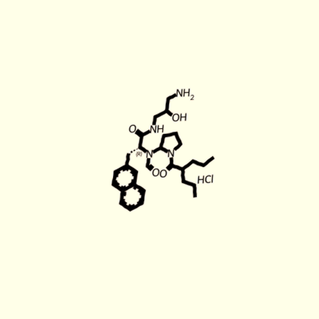 CCCC(CCC)C(=O)N1CCCC1N(C=O)[C@H](Cc1ccc2ccccc2c1)C(=O)NCC(O)CN.Cl